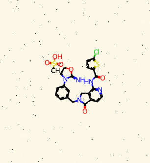 CS(=O)(=O)O.N=C1OCCN1c1cccc(CN2Cc3c(ccnc3NC(=O)c3ccc(Cl)s3)C2=O)c1